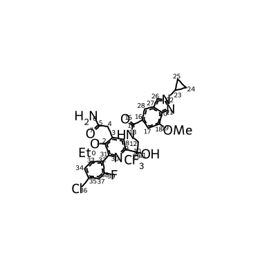 CCOc1c(CC(N)=O)cc([C@@](O)(CNC(=O)c2cc(OC)c3nn(C4CC4)cc3c2)C(F)(F)F)nc1-c1ccc(Cl)cc1F